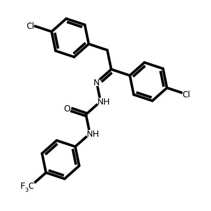 O=C(NN=C(Cc1ccc(Cl)cc1)c1ccc(Cl)cc1)Nc1ccc(C(F)(F)F)cc1